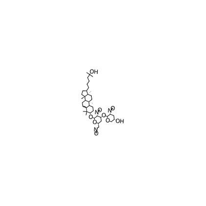 CC(C)(O)CCCCC1CC[C@@]2(C)C3CC=C4C(CC[C@H](O[C@@H]5O[C@H](CN=O)C[C@H](O[C@@H]6OC[C@@H](O)C[C@H]6N=O)[C@H]5N=O)C4(C)C)[C@]3(C)CC[C@]12C